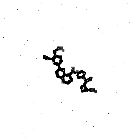 COc1ncc(-c2ccc3ncnc(N[C@H]4CCN(C(=O)C5CCN5C)C4)c3n2)cc1C#N